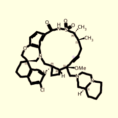 CO[C@]1(CN2CCN3CCCC[C@H]3C2)/C=C/C[C@H](C)[C@@H](C)S(=O)(=O)NC(=O)c2ccc3c(c2)N(C[C@@H]2CC[C@H]21)C[C@@]1(CCCc2cc(Cl)ccc21)CO3